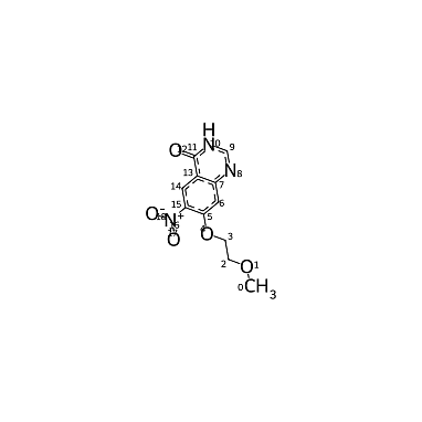 COCCOc1cc2nc[nH]c(=O)c2cc1[N+](=O)[O-]